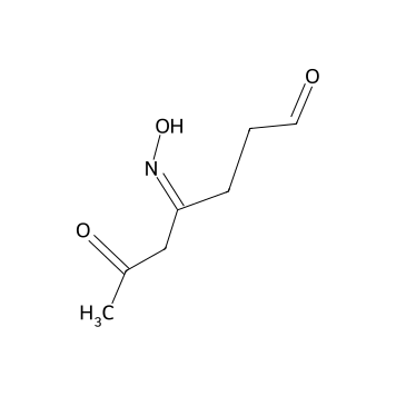 CC(=O)CC(CCC=O)=NO